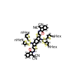 CCCCCCc1ccc(CS/C(Sc2ccc(CCCCCC)s2)=C2\C3=CC4c5sc(/C=C6\C(=O)c7ccccc7C6=C(C#N)C#N)cc5/C(=C(\SCc5ccc(CCCCCC)s5)Sc5ccc(CCCCCC)s5)C4(C)C=C3c3sc(/C=C4\C(=O)c5ccccc5C4=C(C#N)C#N)cc32)s1